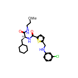 COCCNC(=O)[C@H](CC1CCCCC1)NC(=O)c1ccc(CNc2cccc(Cl)c2)s1